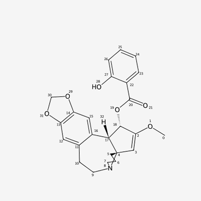 COC1=C[C@]23CCCN2CCc2cc4c(cc2[C@@H]3[C@@H]1OC(=O)c1ccccc1O)OCO4